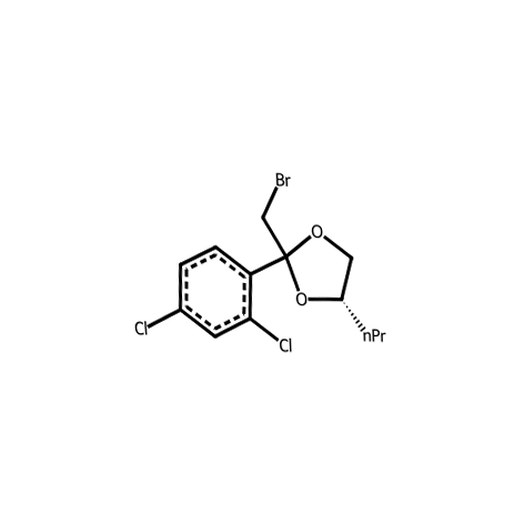 CCC[C@H]1COC(CBr)(c2ccc(Cl)cc2Cl)O1